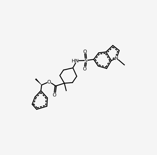 C[C@@H](OC(=O)C1(C)CCC(NS(=O)(=O)c2ccc3c(ccn3C)c2)CC1)c1ccccc1